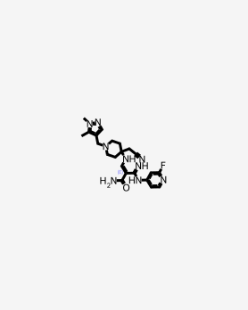 Cc1c(CN2CCC(CC#N)(N/C=C(\C(=N)Nc3ccnc(F)c3)C(N)=O)CC2)cnn1C